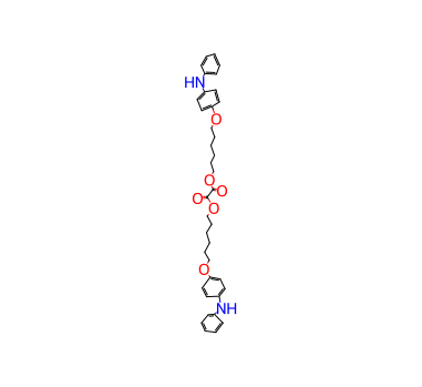 O=C(OCCCCCCOc1ccc(Nc2ccccc2)cc1)C(=O)OCCCCCCOc1ccc(Nc2ccccc2)cc1